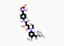 Cc1ccc(N2CCO[C@H]([C@@H](O)C(=O)Nc3ccc(-c4noc(=O)[nH]4)cc3)C2=O)cc1C(=O)N(C)C